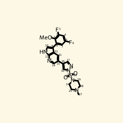 COc1c(F)cc(F)cc1-c1c[nH]c2ncc(-c3cnn(S(=O)(=O)N4CCN(C)CC4)c3)cc12